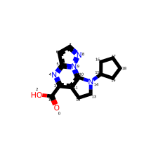 O=C(O)c1nc2ccnn2c2c1CCN2C1CCCC1